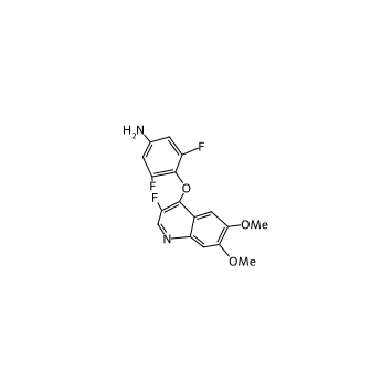 COc1cc2ncc(F)c(Oc3c(F)cc(N)cc3F)c2cc1OC